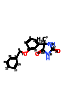 CC1(c2cccc(OCc3ccccc3)c2)NC(=O)NC1=O